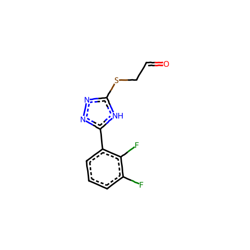 O=CCSc1nnc(-c2cccc(F)c2F)[nH]1